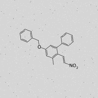 Cc1cc(OCc2ccccc2)cc(-c2ccccc2)c1C=C[N+](=O)[O-]